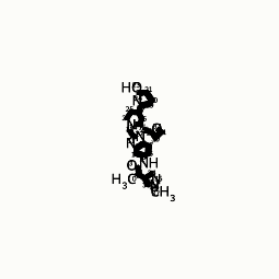 CC(C(=O)Nc1ccc2c(c1)nc(CN1CCC(c3cccc(O)n3)CC1)n2CC1CCO1)c1cnn(C)c1